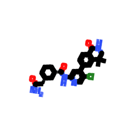 CC1(C)CNC(=O)c2ccc(-c3cc(NC(=O)[C@H]4CCC[C@@H](CC(N)=O)C4)ncc3Cl)cc21